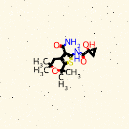 CC1(C)Cc2c(sc(NC(=O)C3(O)CC3)c2C(N)=O)C(C)(C)O1